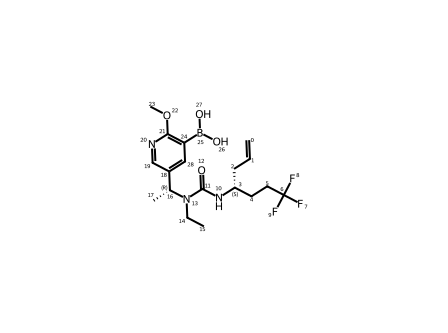 C=CC[C@H](CCC(F)(F)F)NC(=O)N(CC)[C@H](C)c1cnc(OC)c(B(O)O)c1